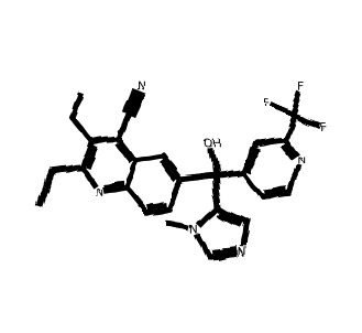 CCc1nc2ccc(C(O)(c3ccnc(C(F)(F)F)c3)c3cncn3C)cc2c(C#N)c1CC